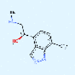 CC(C)(C)NC[C@H](O)c1ccc(C(F)(F)F)c2[nH]ncc12